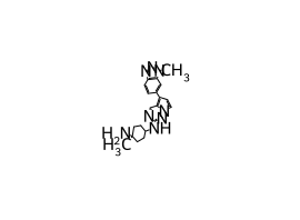 Cn1nnc2ccc(-c3ccn4nc(NC5CCC(C)(N)CC5)ncc34)cc21